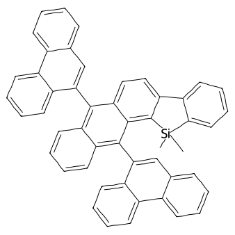 C[Si]1(C)c2ccccc2-c2ccc3c(-c4cc5ccccc5c5ccccc45)c4ccccc4c(-c4cc5ccccc5c5ccccc45)c3c21